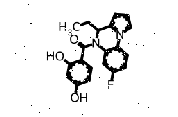 CCC1c2cccn2-c2ccc(F)cc2N1C(=O)c1ccc(O)cc1O